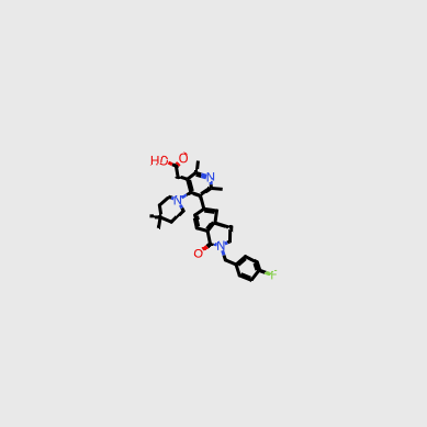 Cc1nc(C)c(-c2ccc3c(c2)CCN(Cc2ccc(F)cc2)C3=O)c(N2CCC(C)(C)CC2)c1CC(=O)O